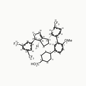 COc1ccc(C2CCC(C(=O)O)CC2)cc1-c1ccc(C(F)(F)F)cc1[C@@H]1CC[C@@H]2C1=NO[C@@H]2c1cc(C(F)(F)F)cc(C(F)(F)F)c1